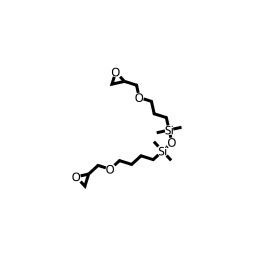 C[Si](C)(CCCCOCC1CO1)O[Si](C)(C)CCCOCC1CO1